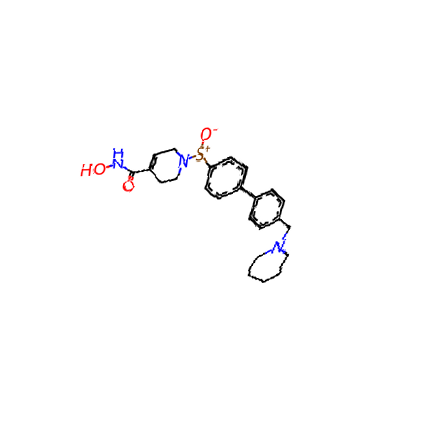 O=C(NO)C1=CCN([S+]([O-])c2ccc(-c3ccc(CN4CCCCC4)cc3)cc2)CC1